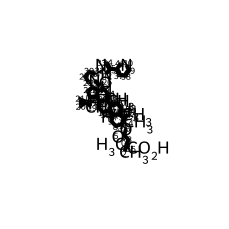 CC(C)(CC(=O)O[C@H]1CC[C@]2(C)[C@H]3CC[C@@H]4[C@H]5[C@H](C6(C)CC6)CC[C@]5(C(=O)N5CCC[C@H]5c5ncc(-c6cccnc6)[nH]5)CC[C@@]4(C)[C@]3(C)CC[C@H]2C1(C)C)C(=O)O